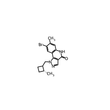 Cc1cc2[nH]c(=O)c3cnn(CC4CC[C@H]4C)c3c2cc1Br